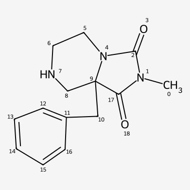 CN1C(=O)N2CCNCC2(Cc2ccccc2)C1=O